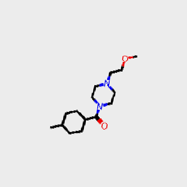 COCCN1CCN(C(=O)C2CCC(C)CC2)CC1